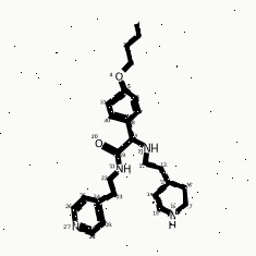 CCCCOc1ccc(C(NCCC2CCNCC2)C(=O)NCCc2ccncc2)cc1